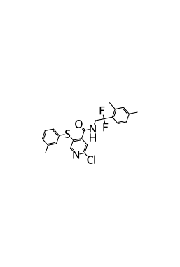 Cc1cccc(Sc2cnc(Cl)cc2C(=O)NCC(F)(F)c2ccc(C)cc2C)c1